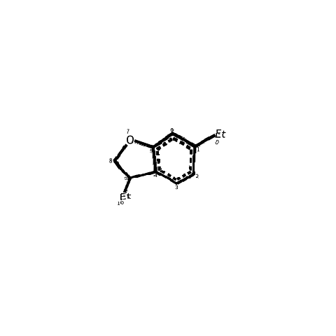 CCc1ccc2c(c1)OCC2CC